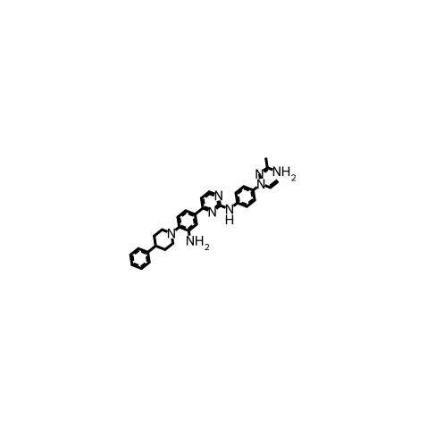 C=CN(/N=C(/C)N)c1ccc(Nc2nccc(-c3ccc(N4CCC(c5ccccc5)CC4)c(N)c3)n2)cc1